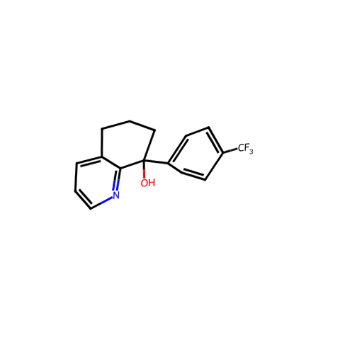 OC1(c2ccc(C(F)(F)F)cc2)CCCc2cccnc21